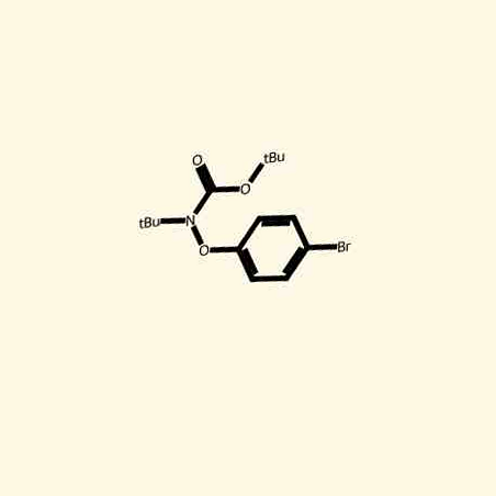 CC(C)(C)OC(=O)N(Oc1ccc(Br)cc1)C(C)(C)C